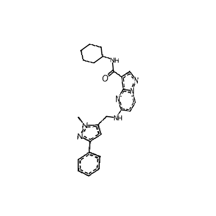 Cn1nc(-c2ccccc2)cc1CNc1ccn2ncc(C(=O)NC3CCCCC3)c2n1